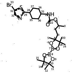 CC(CCC1(C)OB(B2OC(C)(C)C(C)(C)O2)OC1(C)C)OC(=O)NC1CCC(c2ncc(Br)s2)CC1